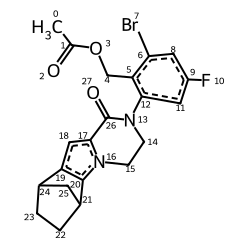 CC(=O)OCc1c(Br)cc(F)cc1N1CCn2c(cc3c2C2CCC3C2)C1=O